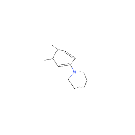 CC1C=CC(N2CCCCC2)=CC1C